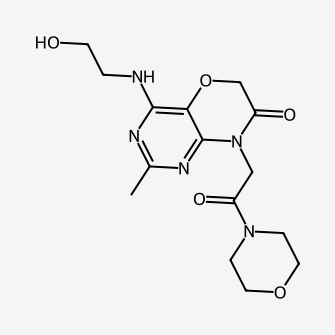 Cc1nc(NCCO)c2c(n1)N(CC(=O)N1CCOCC1)C(=O)CO2